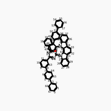 c1ccc(-c2ccc(-c3cccc(-c4nc(-c5ccccc5)nc(-n5c6ccccc6c6ccc7c8ccccc8n(-c8ccccc8-c8ccc(-c9ccccc9)cc8)c7c65)n4)c3)cc2)cc1